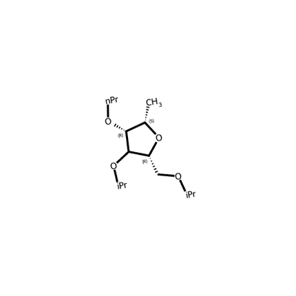 CCCO[C@H]1C(OC(C)C)[C@@H](COC(C)C)O[C@H]1C